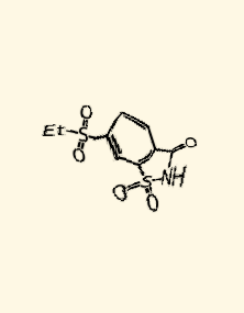 CCS(=O)(=O)c1ccc2c(c1)S(=O)(=O)NC2=O